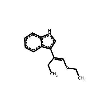 CCS/C=C(\CC)c1c[nH]c2ccccc12